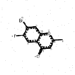 Cc1cc(=O)c2cc(F)c(Br)cc2o1